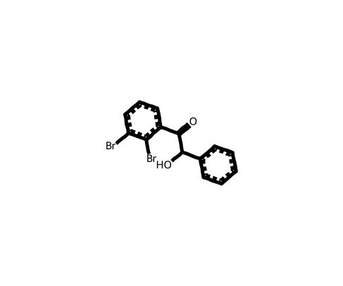 O=C(c1cccc(Br)c1Br)C(O)c1ccccc1